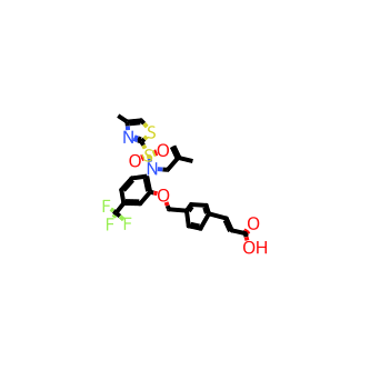 C=C(C)CN(c1ccc(C(F)(F)F)cc1OCc1ccc(C=CC(=O)O)cc1)S(=O)(=O)c1nc(C)cs1